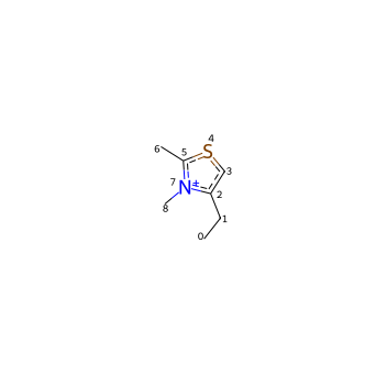 CCc1csc(C)[n+]1C